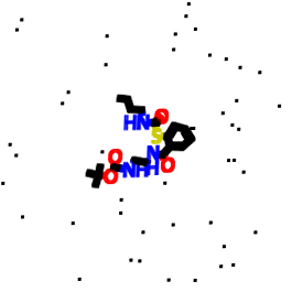 CCCCNC(=O)Sc1ccccc1C(=O)NCCNC(=O)OC(C)(C)C